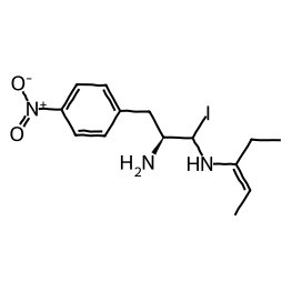 C/C=C(/CC)NC(I)[C@@H](N)Cc1ccc([N+](=O)[O-])cc1